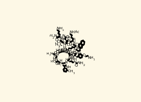 CC(=O)NCCCCC(NC(=O)[C@](C)(CCCCN)NC(=O)C(Cc1ccc2ccccc2c1)NC(=O)[C@H](Cc1ccc(OCCN)cc1)NC(=O)[C@H]1NC(=O)[C@H](CCCNC(N)=O)NC(=O)[C@H](Cc2c[nH]c3c(C)cccc23)NC(=O)[C@H]([C@@H](C)O)NC(=O)[C@H](CC(N)=O)NC(=O)[C@@H](NC(C)=O)C(C)(C)SSC1(C)C)C(=O)N[C@@H](CC(N)=O)C(=O)NC(C)(C)C(=O)N[C@H](CCCCN)C(N)=O